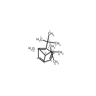 CC(C)(C)c1ccc2cc1C2C(C)(C)C.O